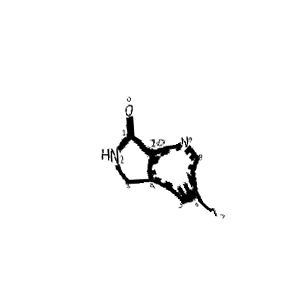 O=C1NCc2cc(I)cnc21